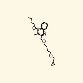 CCCCOc1c(C)c(COCCCCOCC2CC2)nc2ccccc12